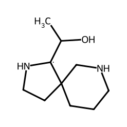 CC(O)[C]1NCCC12CCCNC2